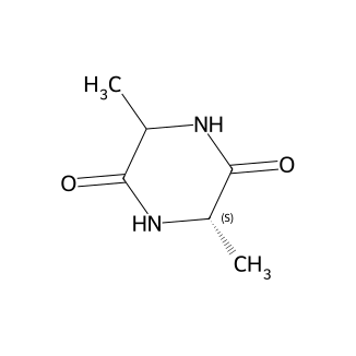 CC1NC(=O)[C@H](C)NC1=O